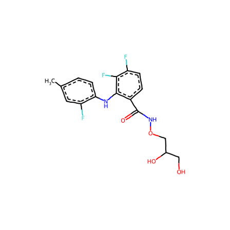 Cc1ccc(Nc2c(C(=O)NOCC(O)CO)ccc(F)c2F)c(F)c1